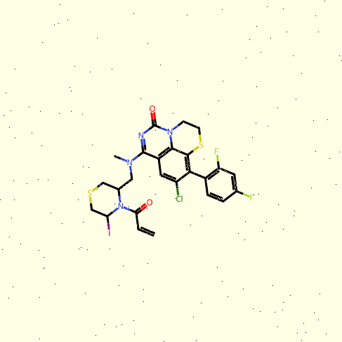 C=CC(=O)N1C(I)CSCC1CN(C)c1nc(=O)n2c3c(c(-c4ccc(F)cc4F)c(Cl)cc13)SCC2